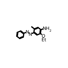 CCOc1cc(N=Nc2ccccc2)c(C)cc1N